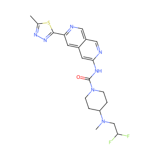 Cc1nnc(-c2cc3cc(NC(=O)N4CCC(N(C)CC(F)F)CC4)ncc3cn2)s1